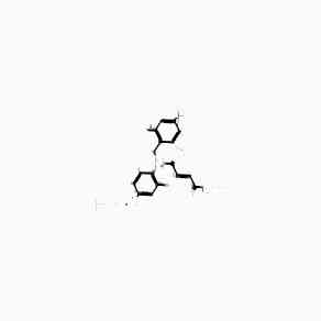 COc1ccc2c(c1)SC(=CC(=O)O)C(=O)N2Cc1ccc(Br)cc1F